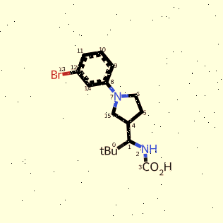 CC(C)(C)C(NC(=O)O)C1CCN(c2cccc(Br)c2)C1